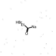 Br.CC[C](=O)[Na]